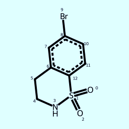 O=S1(=O)NCCc2cc(Br)ccc21